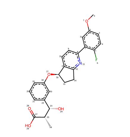 COc1ccc(F)c(-c2ccc3c(n2)CC[C@H]3Oc2cccc([C@H](O)[C@H](C)C(=O)O)c2)c1